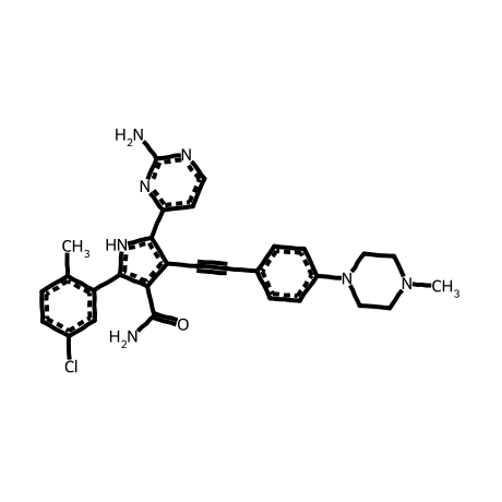 Cc1ccc(Cl)cc1-c1[nH]c(-c2ccnc(N)n2)c(C#Cc2ccc(N3CCN(C)CC3)cc2)c1C(N)=O